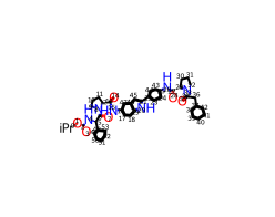 CC(C)OC(=O)N[C@@H](C(=O)N1CCC[C@H]1C(=O)Nc1ccc2[nH]c(-c3ccc(NC(=O)[C@@H]4CCCN4C(=O)Cc4ccccc4)cc3)cc2c1)c1ccccc1